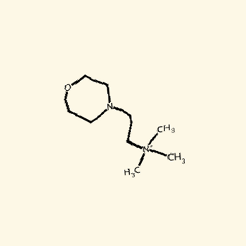 C[N+](C)(C)CCN1CCOCC1